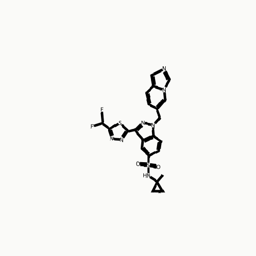 CC1(NS(=O)(=O)c2ccc3c(c2)c(-c2nnc(C(F)F)s2)nn3Cc2ccc3cncn3c2)CC1